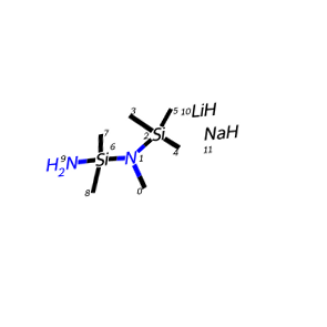 CN([Si](C)(C)C)[Si](C)(C)N.[LiH].[NaH]